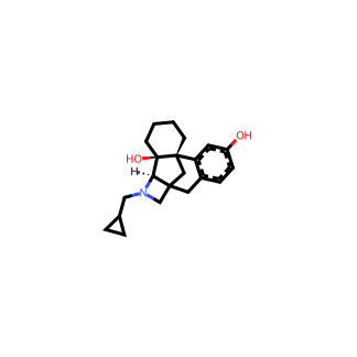 Oc1ccc2c(c1)[C@@]13CCCC[C@@]1(O)[C@@H]1N(CC4CC4)CC1(C2)C3